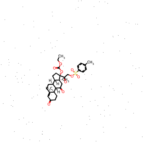 CCOC(=O)O[C@]1(C(=O)COS(=O)(=O)c2ccc(C)cc2)CC[C@H]2[C@@H]3CCC4=CC(=O)CC[C@]4(C)[C@H]3C(=O)C[C@@]21C